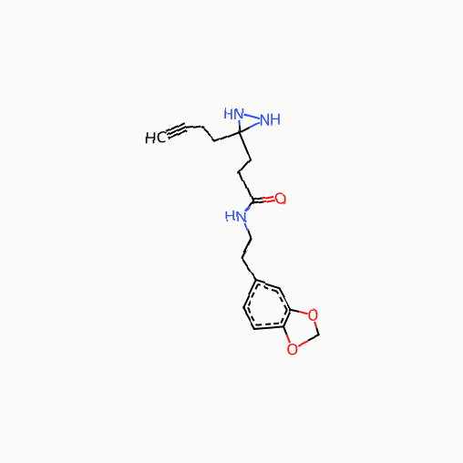 C#CCCC1(CCC(=O)NCCc2ccc3c(c2)OCO3)NN1